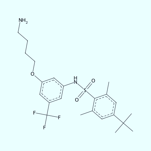 Cc1cc(C(C)(C)C)cc(C)c1S(=O)(=O)Nc1cc(OCCCCN)cc(C(F)(F)F)c1